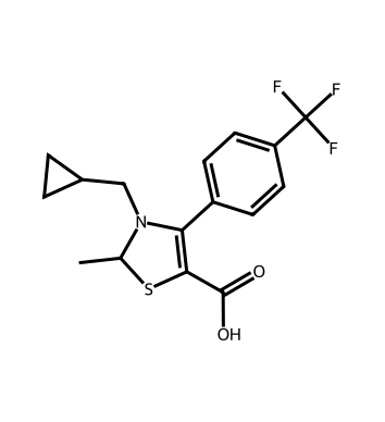 CC1SC(C(=O)O)=C(c2ccc(C(F)(F)F)cc2)N1CC1CC1